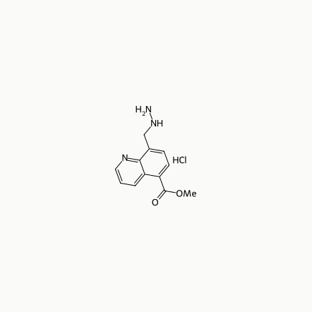 COC(=O)c1ccc(CNN)c2ncccc12.Cl